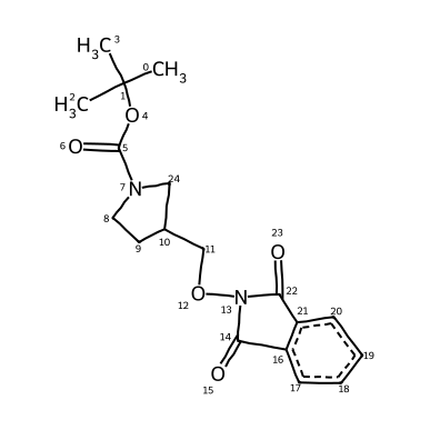 CC(C)(C)OC(=O)N1CCC(CON2C(=O)c3ccccc3C2=O)C1